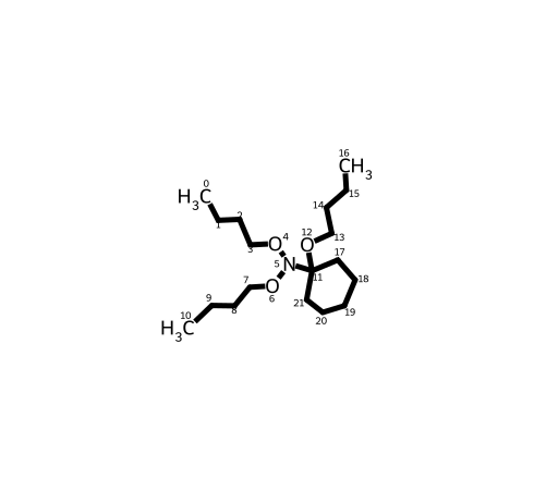 CCCCON(OCCCC)C1(OCCCC)CCCCC1